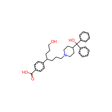 O=C(O)c1ccc(C(CCCO)CCCN2CCC(C(O)(c3ccccc3)c3ccccc3)CC2)cc1